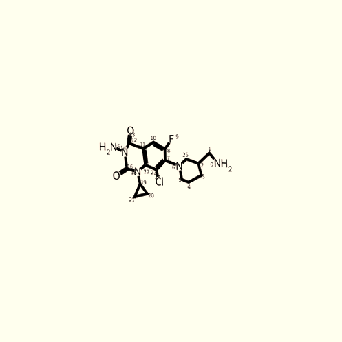 NCC1CCCN(c2c(F)cc3c(=O)n(N)c(=O)n(C4CC4)c3c2Cl)C1